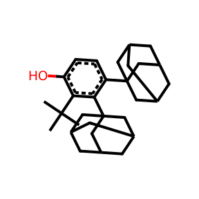 CC(C)(C)c1c(O)ccc(C23CC4CC(CC(C4)C2)C3)c1C12CC3CC(CC(C3)C1)C2